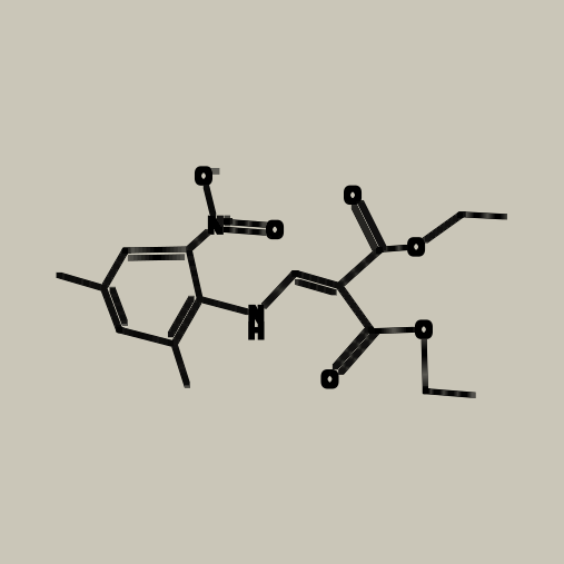 CCOC(=O)C(=CNc1c(C)cc(C)cc1[N+](=O)[O-])C(=O)OCC